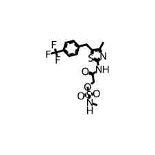 CNS(=O)(=O)OCC(=O)Nc1nc(C)c(Cc2ccc(C(F)(F)F)cc2)s1